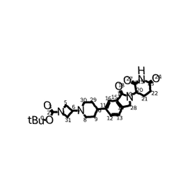 CC(C)(C)OC(=O)N1CC(N2CCC(c3ccc4c(c3)C(=O)N(C3CCC(=O)NC3=O)C4)CC2)C1